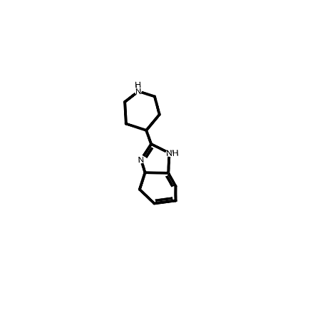 C1=CCC2N=C(C3CCNCC3)NC2=C1